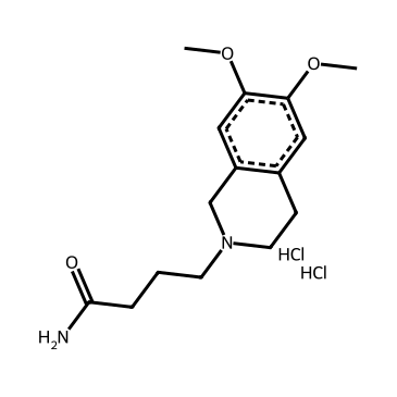 COc1cc2c(cc1OC)CN(CCCC(N)=O)CC2.Cl.Cl